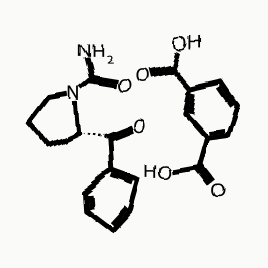 NC(=O)N1CCC[C@H]1C(=O)c1ccccc1.O=C(O)c1cccc(C(=O)O)c1